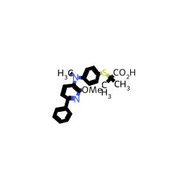 COc1nc(-c2ccccc2)ccc1N(C)c1ccc(SC(C)(C)C(=O)O)cc1